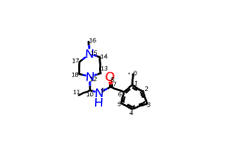 [CH2]c1ccccc1C(=O)NC(C)N1CCN(C)CC1